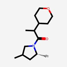 CC1C[C@@H](C(C)C)N(C(=O)C(C)C2CCOCC2)C1